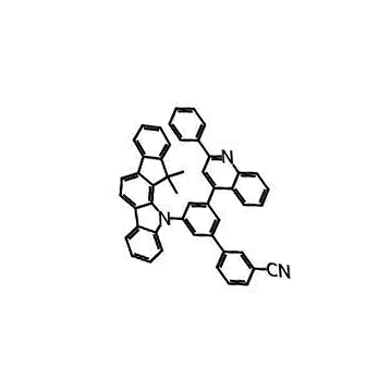 CC1(C)c2ccccc2-c2ccc3c4ccccc4n(-c4cc(-c5cccc(C#N)c5)cc(-c5cc(-c6ccccc6)nc6ccccc56)c4)c3c21